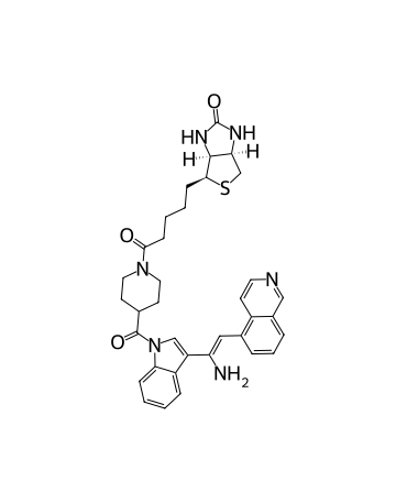 N/C(=C\c1cccc2cnccc12)c1cn(C(=O)C2CCN(C(=O)CCCC[C@@H]3SC[C@@H]4NC(=O)N[C@@H]43)CC2)c2ccccc12